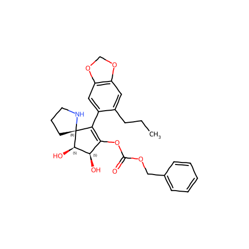 CCCc1cc2c(cc1C1=C(OC(=O)OCc3ccccc3)[C@@H](O)[C@@H](O)[C@@]13CCCN3)OCO2